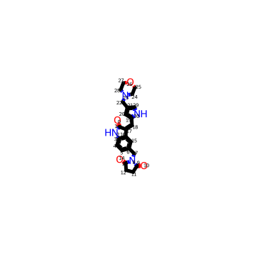 O=C1Nc2ccc(CN3C(=O)CCC3=O)cc2C1=Cc1cc(CN2CCOCC2)c[nH]1